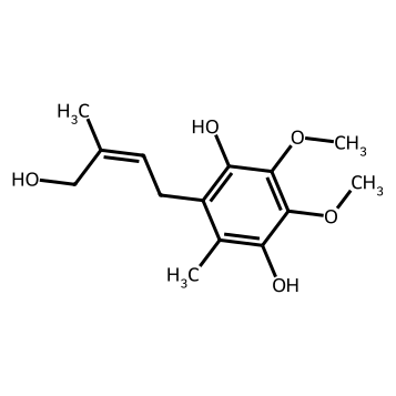 COc1c(O)c(C)c(CC=C(C)CO)c(O)c1OC